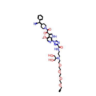 C#CCOCCOCCOCCOCCN(CCCNC(=O)c1ncn(-c2ncc(OC)c3c(C(=O)C(=O)N4CCC(=C(C#N)c5ccccc5)CC4)c[nH]c23)n1)C(CO)CO